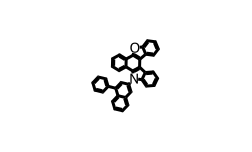 c1ccc(-c2cc(-n3c4ccccc4c4c5c6ccccc6oc5c5ccccc5c43)cc3ccccc23)cc1